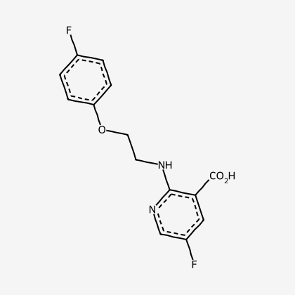 O=C(O)c1cc(F)cnc1NCCOc1ccc(F)cc1